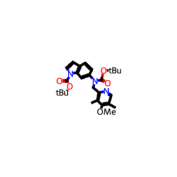 COc1c(C)cnc(CN(C(=O)OC(C)(C)C)c2ccc3ccn(C(=O)OC(C)(C)C)c3c2)c1C